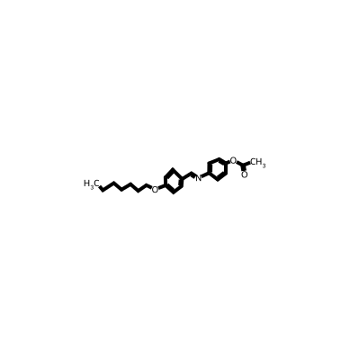 CCCCCCCOc1ccc(C=Nc2ccc(OC(C)=O)cc2)cc1